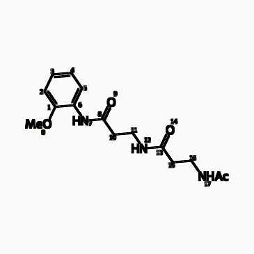 COc1ccccc1NC(=O)CCNC(=O)CCNC(C)=O